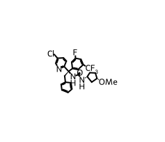 CO[C@H]1CC[C@@H](NC(=O)N[C@@](Cc2ccccc2)(c2cc(F)cc(C(F)(F)F)c2)c2ccc(Cl)cn2)C1